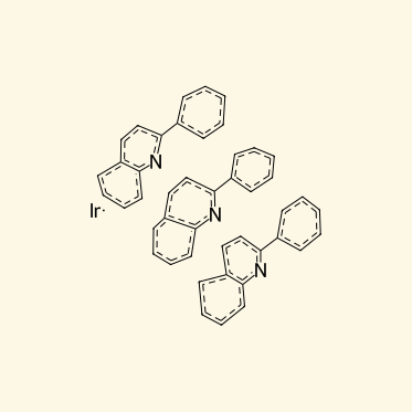 [Ir].c1ccc(-c2ccc3ccccc3n2)cc1.c1ccc(-c2ccc3ccccc3n2)cc1.c1ccc(-c2ccc3ccccc3n2)cc1